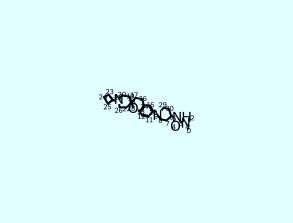 CN(C)C(=O)NC1CCN(c2ccc3c(c2)CCC2(CCN(C4CCC4)CC2)O3)CC1